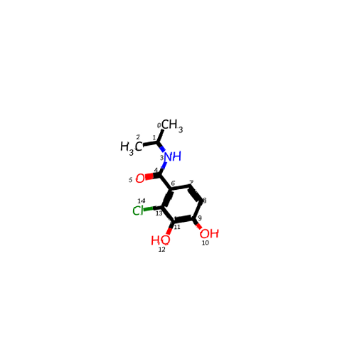 CC(C)NC(=O)c1ccc(O)c(O)c1Cl